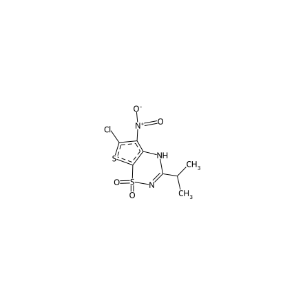 CC(C)C1=NS(=O)(=O)c2sc(Cl)c([N+](=O)[O-])c2N1